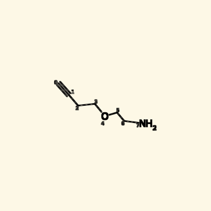 C#CCCOCCN